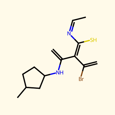 C=C(Br)/C(C(=C)NC1CCC(C)C1)=C(S)/N=C\C